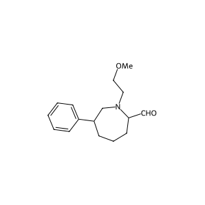 COCCN1CC(c2ccccc2)CCCC1C=O